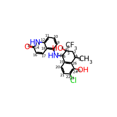 C[C@@H]1C[C@@](O)(C(F)(F)F)[C@H](Nc2cccc3[nH]c(=O)ccc23)c2ccc(Cl)c(O)c21